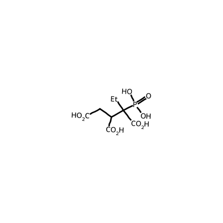 CCC(C(=O)O)(C(CC(=O)O)C(=O)O)P(=O)(O)O